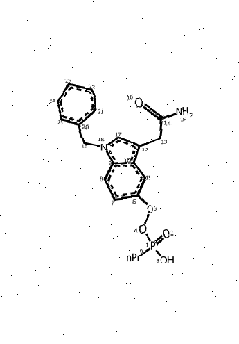 CCCP(=O)(O)OOc1ccc2c(c1)c(CC(N)=O)cn2Cc1ccccc1